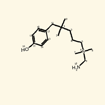 CC(C)(CCCS(C)(C)CN)Cc1ccc(O)cc1